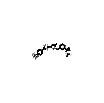 CC(=O)OC1(c2cccc(Cn3nc(-c4nc(-c5ccc(S(F)(F)(F)(F)F)cc5)no4)cc3C)c2)CC1